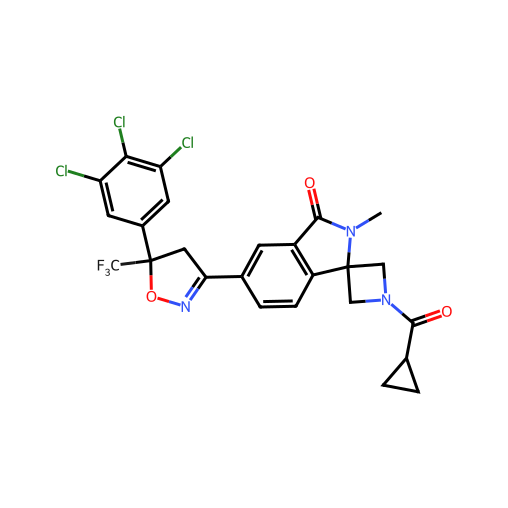 CN1C(=O)c2cc(C3=NOC(c4cc(Cl)c(Cl)c(Cl)c4)(C(F)(F)F)C3)ccc2C12CN(C(=O)C1CC1)C2